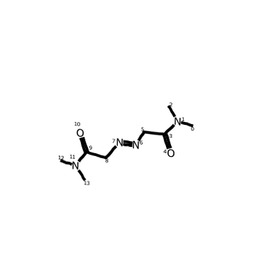 CN(C)C(=O)CN=NCC(=O)N(C)C